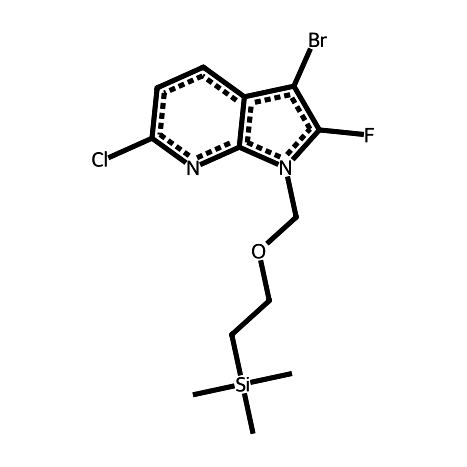 C[Si](C)(C)CCOCn1c(F)c(Br)c2ccc(Cl)nc21